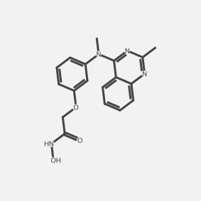 Cc1nc(N(C)c2cccc(OCC(=O)NO)c2)c2ccccc2n1